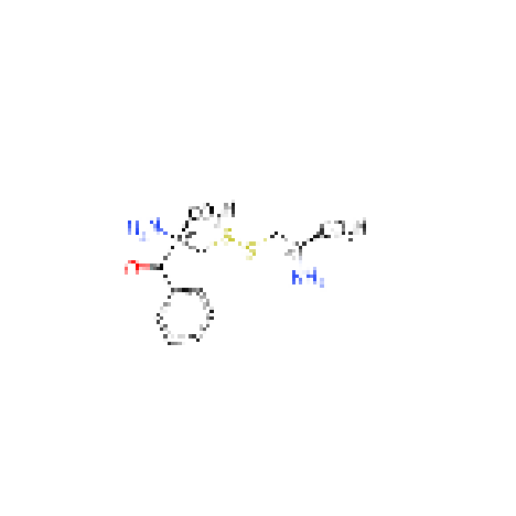 N[C@@H](CSSC[C@](N)(C(=O)O)C(=O)c1ccccc1)C(=O)O